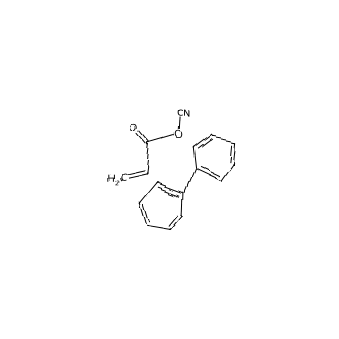 C=CC(=O)OC#N.c1ccc(-c2ccccc2)cc1